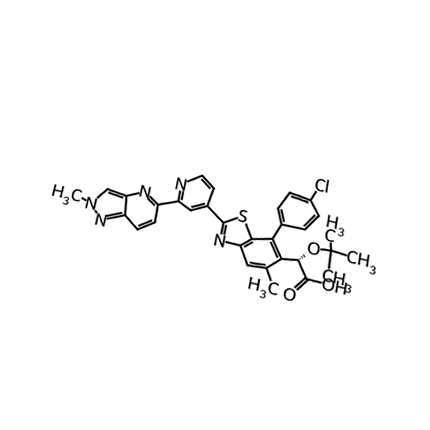 Cc1cc2nc(-c3ccnc(-c4ccc5nn(C)cc5n4)c3)sc2c(-c2ccc(Cl)cc2)c1[C@H](OC(C)(C)C)C(=O)O